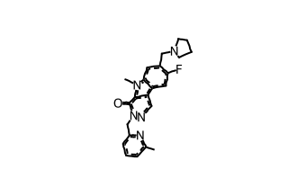 Cc1cccc(Cn2ncc3c4cc(F)c(CN5CCCC5)cc4n(C)c3c2=O)n1